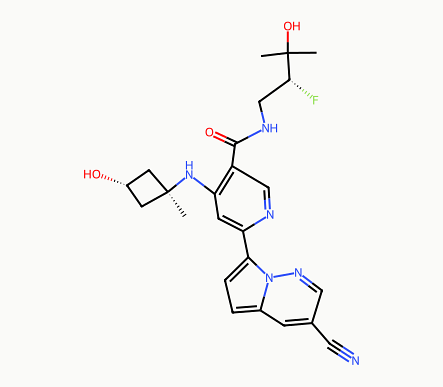 CC(C)(O)[C@H](F)CNC(=O)c1cnc(-c2ccc3cc(C#N)cnn23)cc1N[C@]1(C)C[C@@H](O)C1